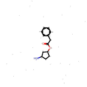 NC1CCC(OC(=O)Cc2ccccc2)C1